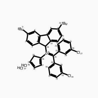 CC(C)(C)c1ccc2c(c1)-c1cc(C(C)(C)C)ccc1[CH]2[Zr]([C]1=CC=CC1)=[C](c1cccc(Cl)c1)c1cccc(Cl)c1.Cl.Cl